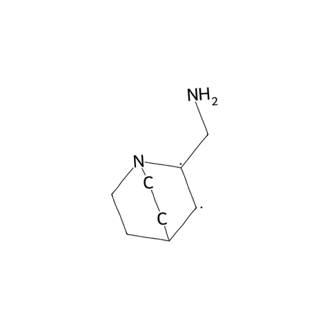 NC[C]1[CH]C2CCN1CC2